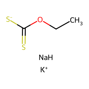 CCOC(=S)[S-].[K+].[NaH]